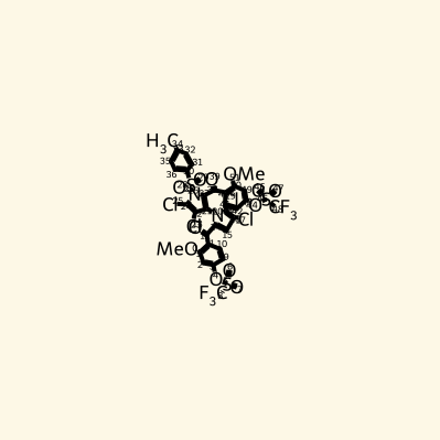 COc1cc(OS(=O)(=O)C(F)(F)F)ccc1C(=O)c1cc(Cl)c(Cl)n1-c1c(Cl)c(Cl)n(S(=O)(=O)c2ccc(C)cc2)c1C(=O)c1ccc(OS(=O)(=O)C(F)(F)F)cc1OC